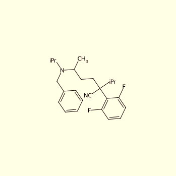 CC(C)N(Cc1ccccc1)C(C)CCC(C#N)(c1c(F)cccc1F)C(C)C